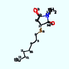 BN1C(=O)CC(SCCCCCCC(C)(C)C)C1=O